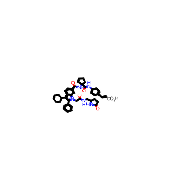 O=C(O)C=Cc1ccc(NC(=O)C2(NC(=O)c3ccc4c(C5CCCCC5)c(-c5ccccc5)n(CC(=O)NCC5CCC(=O)N5)c4c3)CCCC2)cc1